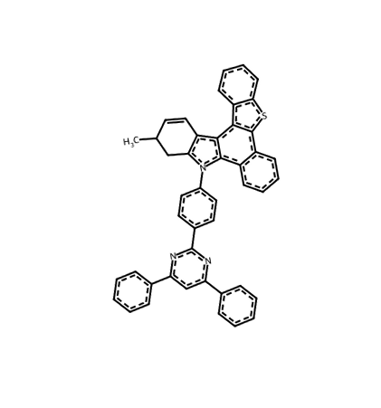 CC1C=Cc2c(n(-c3ccc(-c4nc(-c5ccccc5)cc(-c5ccccc5)n4)cc3)c3c4ccccc4c4sc5ccccc5c4c23)C1